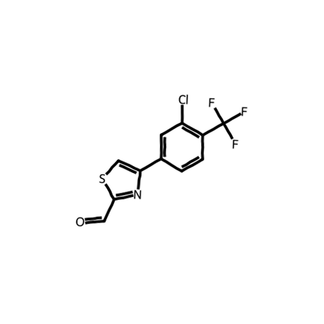 O=Cc1nc(-c2ccc(C(F)(F)F)c(Cl)c2)cs1